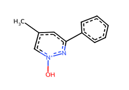 Cc1cc(-c2ccccc2)n[n+](O)c1